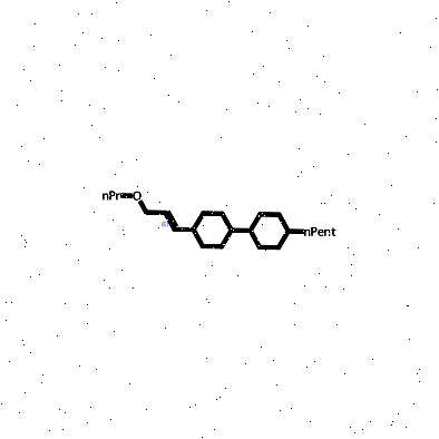 CCCCCC1CCC(C2CCC(/C=C/COCCC)CC2)CC1